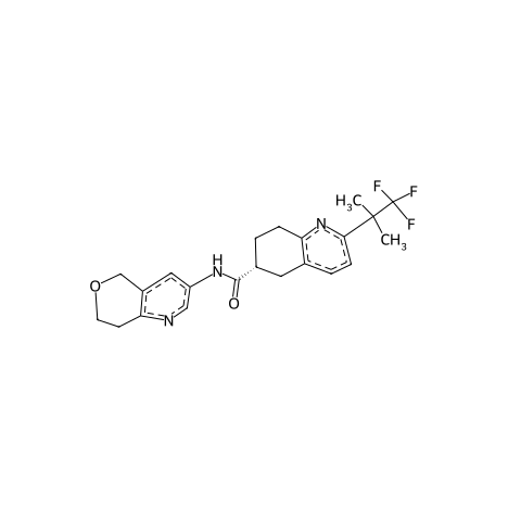 CC(C)(c1ccc2c(n1)CC[C@@H](C(=O)Nc1cnc3c(c1)COCC3)C2)C(F)(F)F